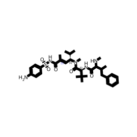 CNC(C(=O)N[C@H](C(=O)N(C)[C@H](/C=C(\C)C(=O)NS(=O)(=O)c1ccc(N)cc1)C(C)C)C(C)(C)C)C(C)Cc1ccccc1